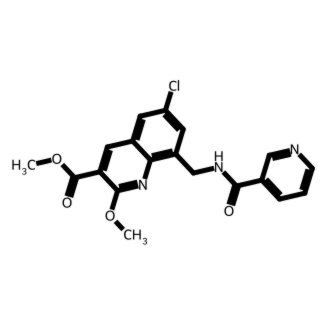 COC(=O)c1cc2cc(Cl)cc(CNC(=O)c3cccnc3)c2nc1OC